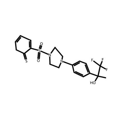 CC(O)(c1ccc(N2CCN(S(=O)(=O)C3=CC=CCC3=S)CC2)cc1)C(F)(F)F